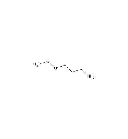 CSOCCCN